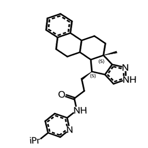 CC(C)c1ccc(NC(=O)CC[C@@H]2c3c[nH]nc3[C@@]3(C)CCC4c5ccccc5CCC4C23)nc1